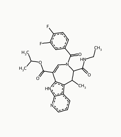 CCNC(=O)C1C(C)c2c([nH]c3ncccc23)C(C(=O)OC(C)C)=CN1C(=O)c1ccc(F)c(F)c1